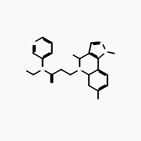 CCN(C(=O)CCN1C2CC(F)=CC=C2c2c(cnn2C)C1O)c1cccnc1